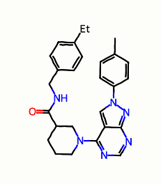 CCc1ccc(CNC(=O)C2CCCN(c3ncnc4nn(-c5ccc(C)cc5)cc34)C2)cc1